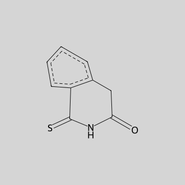 O=C1Cc2ccccc2C(=S)N1